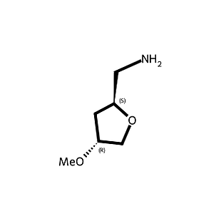 CO[C@H]1CO[C@H](CN)C1